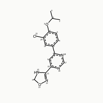 CC(C)Oc1ccc(-c2cc(C3=NOCN3)ncn2)cc1Cl